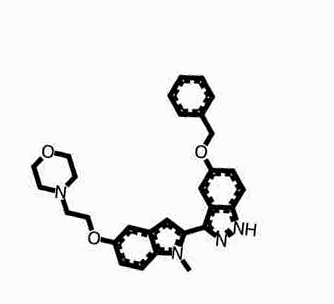 Cn1c(-c2n[nH]c3ccc(OCc4ccccc4)cc23)cc2cc(OCCN3CCOCC3)ccc21